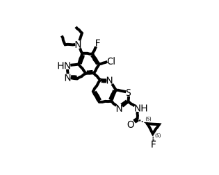 CCN(CC)c1c(F)c(Cl)c(-c2ccc3nc(NC(=O)[C@@H]4C[C@@H]4F)sc3n2)c2cn[nH]c12